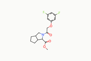 COC(=O)C1C2CCCC2CN1C(=O)COc1cc(F)cc(F)c1